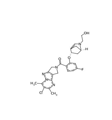 Cc1nc2c3c(nn2c(C)c1Cl)CN(C(=O)c1ccc(F)cc1O[C@H]1C[C@H]2CC1=CN2CCO)C3